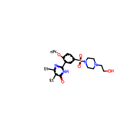 CCCOc1ccc(S(=O)(=O)N2CCN(CCO)CC2)cc1-c1nc(CC)c(CC)c(=O)[nH]1